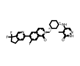 Cc1c(N[C@H]2CCC[C@@H](Cn3ccc4cc(-c5cc6c(cn5)C(F)(F)CC6)c(I)cc4c3=O)C2)cn[nH]c1=O